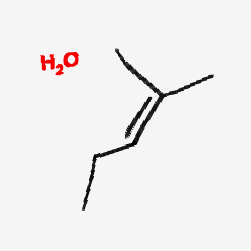 CCC=C(C)C.O